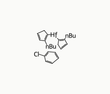 CCCCC1=[C]([Hf][C]2=C(CCCC)C=CC2)CC=C1.Clc1ccccc1